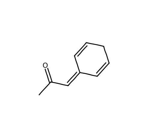 CC(=O)C=C1C=CCC=C1